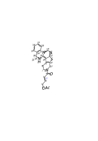 CC(=O)OC/C=C/C(=O)N1CCc2c(sc3ncnc(N[C@H](C)c4ccccc4)c23)C1